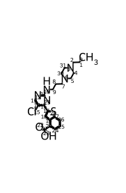 CCCN1CCN(CCCNc2ncc(Cl)c(-c3cc4c(C(=O)O)cccc4s3)n2)CC1